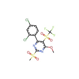 COc1nc(S(C)(=O)=O)nc(-c2ccc(Cl)cc2Cl)c1S(=O)(=O)C(F)(F)F